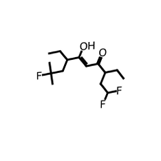 CCC(CC(F)F)C(=O)/C=C(\O)C(CC)CC(C)(C)F